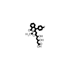 CC(C)n1c(C=CC(O)CC(O)CC(=O)O)c(-c2ccc(F)cc2)c2ccccc2c1=O